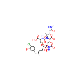 CNC(=O)CC(OC(=O)[C@H](C)N(C)C(=O)N[C@@H](CSCC(=O)O)C(=O)O)C1(C)OC1C(C)C1CC(O)(C(/C=C/C=C(\C)Cc2ccc(Cl)c(OC)c2)OC)NC(=O)O1